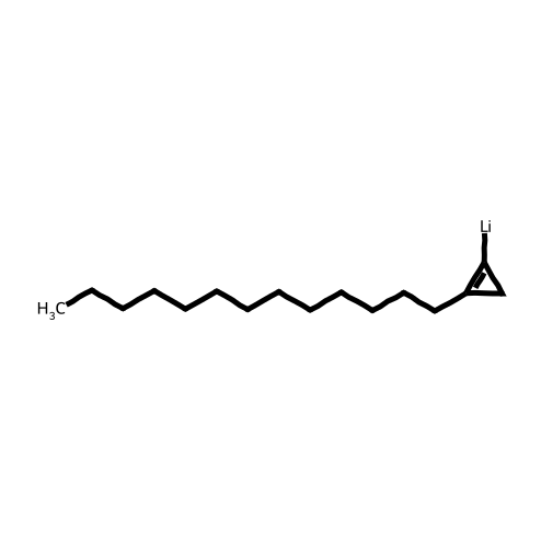 [Li][C]1=C(CCCCCCCCCCCCC)C1